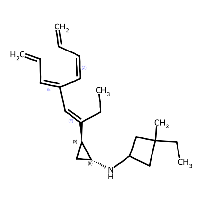 C=C\C=C/C(=C\C=C)/C=C(\CC)[C@@H]1C[C@H]1NC1CC(C)(CC)C1